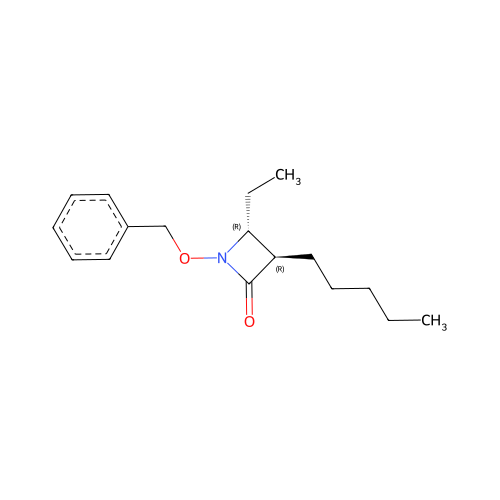 CCCCC[C@H]1C(=O)N(OCc2ccccc2)[C@@H]1CC